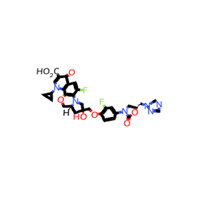 O=C(O)c1cn(C2CC2)c2c3c(c(F)cc2c1=O)N1C[C@](O)(COc2ccc(N4C[C@H](Cn5cncn5)OC4=O)cc2F)C[C@H]1CO3